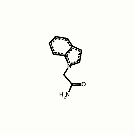 NC(=O)Cn1ccc2c[c]ccc21